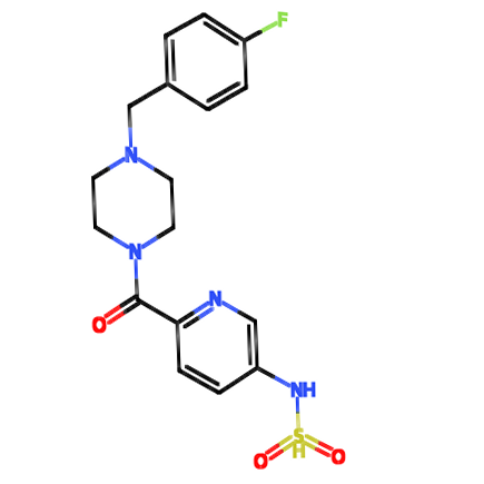 O=C(c1ccc(N[SH](=O)=O)cn1)N1CCN(Cc2ccc(F)cc2)CC1